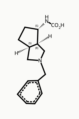 O=C(O)N[C@H]1CC[C@@H]2CN(Cc3ccccc3)C[C@@H]21